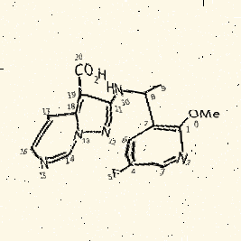 COc1ncc(F)cc1C(C)Nc1nn2cnccc2c1C(=O)O